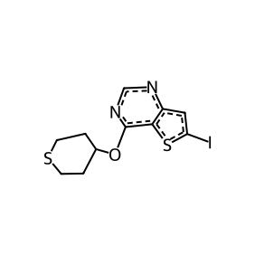 Ic1cc2ncnc(OC3CCSCC3)c2s1